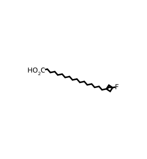 O=C(O)CCCCCCCCCCCCCCCCC12CC(F)(C1)C2